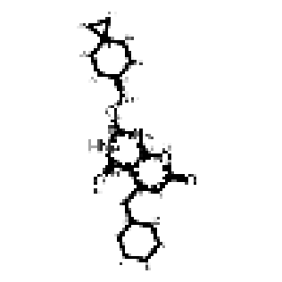 O=c1cc(CC2CCCCC2)c2c(=O)[nH]c(ON=C3CCC4(CC3)CC4)nc2o1